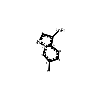 CCCc1cnn2cc(C)ccc12